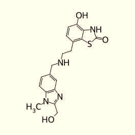 Cn1c(CO)nc2cc(CNCCc3ccc(O)c4[nH]c(=O)sc34)ccc21